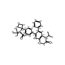 CC(C)N1C(=O)COc2nc(-c3ccc(C4(N(C(=O)O)C(C)(C)C)CCC4)cc3)c(-c3ccccc3)cc21